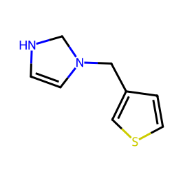 C1=CN(Cc2ccsc2)CN1